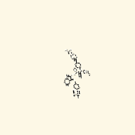 CC(NC(=O)CCc1nc2ccncc2n1Cc1ccc(OC(F)(F)F)cc1)c1ccc(N2CCN(C)CC2)cc1